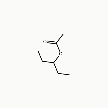 CC[C](CC)OC(C)=O